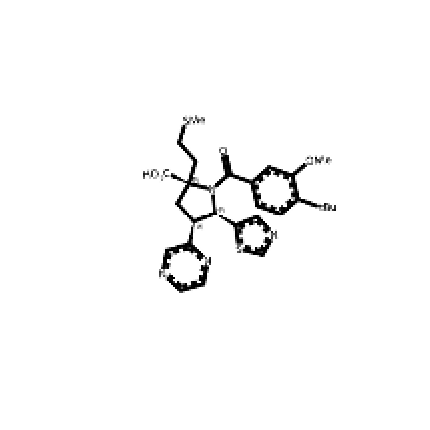 COc1cc(C(=O)N2[C@@H](c3cncs3)[C@@H](c3cnccn3)C[C@@]2(CCSC)C(=O)O)ccc1C(C)(C)C